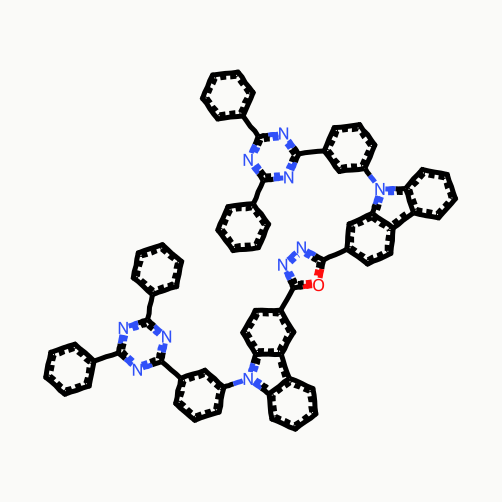 c1ccc(-c2nc(-c3ccccc3)nc(-c3cccc(-n4c5ccccc5c5cc(-c6nnc(-c7ccc8c9ccccc9n(-c9cccc(-c%10nc(-c%11ccccc%11)nc(-c%11ccccc%11)n%10)c9)c8c7)o6)ccc54)c3)n2)cc1